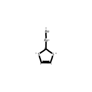 [Au][Au][CH]1SC=CS1